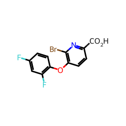 O=C(O)c1ccc(Oc2ccc(F)cc2F)c(Br)n1